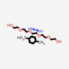 Cc1ccc(S(=O)(=O)O)cc1.N=[N+]=N.OCCOCCOCCOCCOCCO